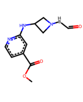 COC(=O)c1ccnc(NC2CN(BC=O)C2)c1